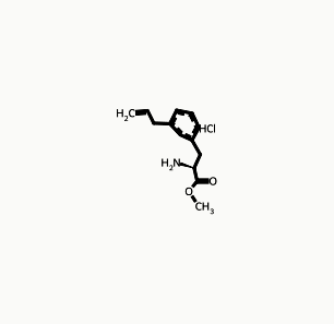 C=CCc1cccc(C[C@H](N)C(=O)OC)c1.Cl